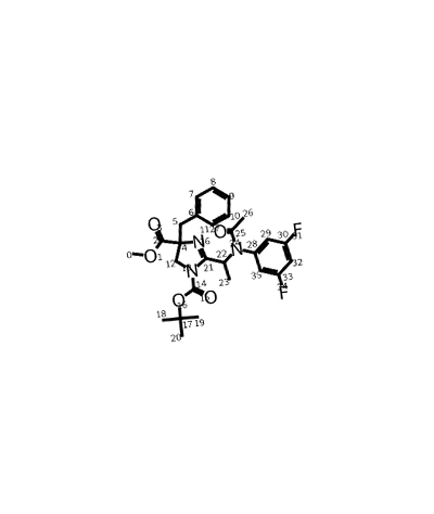 COC(=O)C1(Cc2ccccc2)CN(C(=O)OC(C)(C)C)C(C(C)N(C(C)=O)c2cc(F)cc(F)c2)=N1